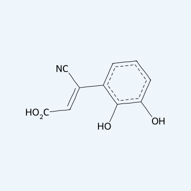 N#CC(=CC(=O)O)c1cccc(O)c1O